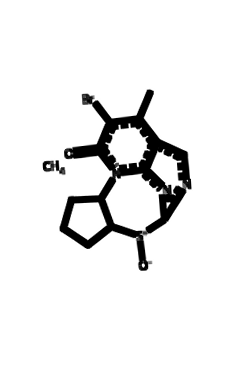 C.Cc1c(Br)c(=O)n2c3nc(ncc13)[S+]([O-])C1CCCC12